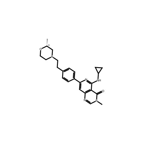 C[C@@H]1CN(CCc2ccc(-c3cc4ncn(C)c(=O)c4c(NC4CC4)n3)cc2)CCO1